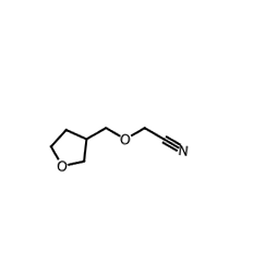 N#CCOCC1CCOC1